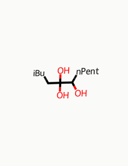 CCCCCC(O)C(O)(O)CC(C)CC